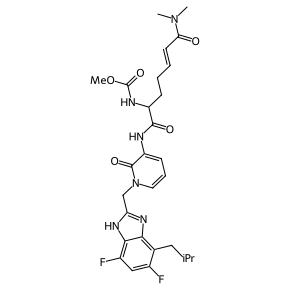 COC(=O)NC(CC/C=C/C(=O)N(C)C)C(=O)Nc1cccn(Cc2nc3c(CC(C)C)c(F)cc(F)c3[nH]2)c1=O